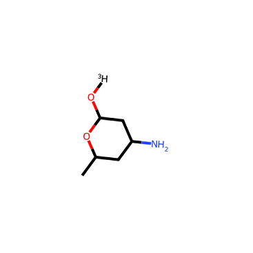 [3H]OC1CC(N)CC(C)O1